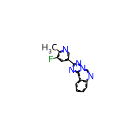 Cc1ncc(-c2nc3c4ccccc4ncn3n2)cc1F